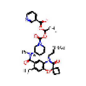 CC(=O)NCCN1C(=O)C2(CCC2)Oc2cc(C)c(C(=O)N(C(C)C)[C@@H]3CCCN(C(=O)OC(C)OC(=O)c4cccnc4)C3)cc21